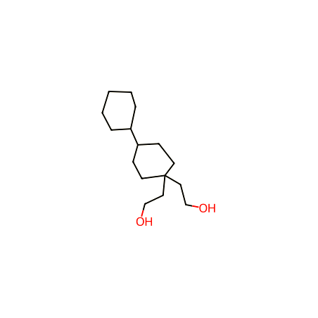 OCCC1(CCO)CCC(C2CCCCC2)CC1